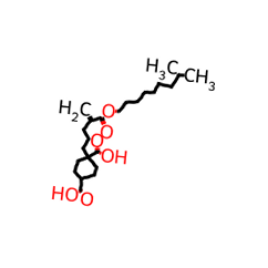 C=C(CCCC1(C(=O)O)CCC(C(=O)O)CC1)C(=O)OCCCCCCCC(C)C